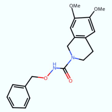 COc1cc2c(cc1OC)CN(C(=O)NOCc1ccccc1)CC2